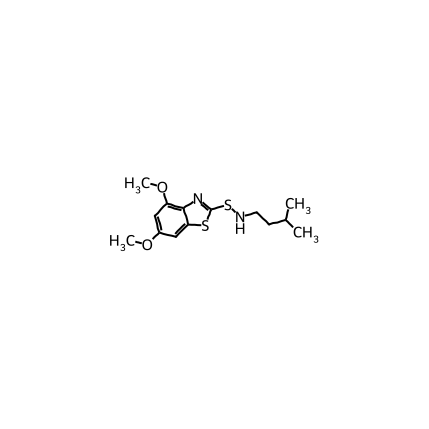 COc1cc(OC)c2nc(SNCCC(C)C)sc2c1